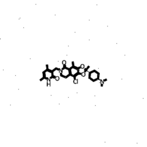 Cc1cc(C)c(CN2CCc3c(Cl)c4c(c(C)c3C2=O)OC(C)([C@H]2CC[C@@H](N(C)C)CC2)O4)c(=O)[nH]1